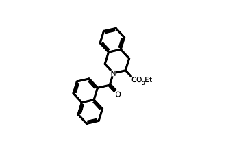 CCOC(=O)C1Cc2ccccc2CN1C(=O)c1cccc2ccccc12